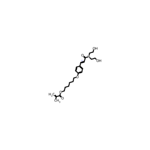 C=C(C)C(=O)OCCCCCCOc1ccc(/C=C/C(=O)N(CCO)CCO)cc1